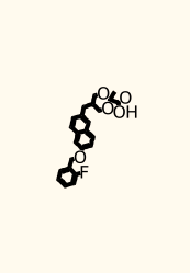 CC1(C(=O)O)OCC(Cc2ccc3cc(OCc4ccccc4F)ccc3c2)CO1